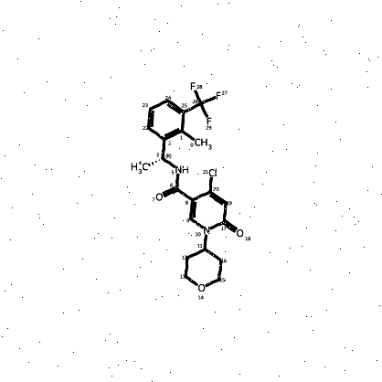 Cc1c([C@@H](C)NC(=O)c2cn(C3CCOCC3)c(=O)cc2Cl)cccc1C(F)(F)F